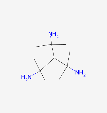 CC(C)(N)[C](C(C)(C)N)C(C)(C)N